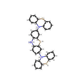 c1ccc2c(c1)Sc1ccccc1N2c1ccc2c(c1)Sc1cc(N3c4ccccc4Sc4ccccc43)ccc1N2